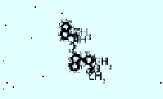 COC(=O)c1cc(C2C[C@@H](CCCN[C@H](C)c3cccc4ccccc34)Cc3ccccc32)ccc1C